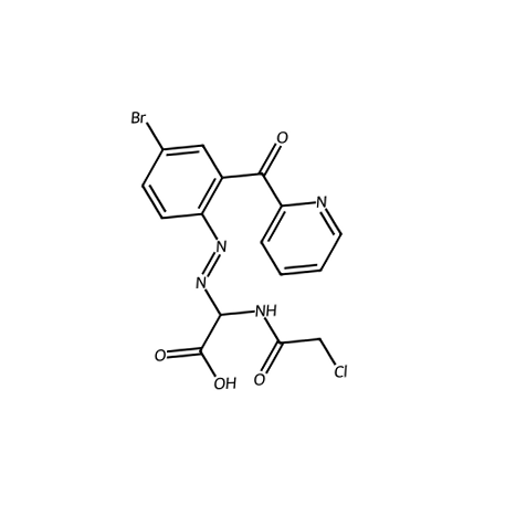 O=C(CCl)NC(N=Nc1ccc(Br)cc1C(=O)c1ccccn1)C(=O)O